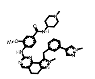 COc1cc(C(=O)NC2CCN(C)CC2)ccc1Nc1ncc2c(n1)-c1c(nn(C)c1Cc1cccc(-c3cnn(C)c3)c1)CC2